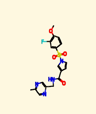 COc1ccc(S(=O)(=O)n2ccc(C(=O)NCc3cnc(C)cn3)c2)cc1F